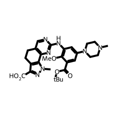 COc1c(Nc2ncc3c(n2)-c2c(c(C(=O)O)nn2C)CC3)cc(N2CCN(C)CC2)cc1C(=O)OC(C)(C)C